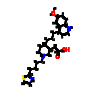 COc1ccc2nccc(CCC[C@@H]3CCN(CCCCc4nccs4)C[C@@H]3CC(=O)O)c2c1